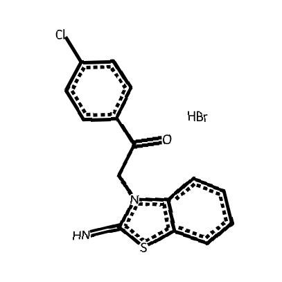 Br.N=c1sc2ccccc2n1CC(=O)c1ccc(Cl)cc1